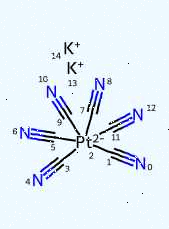 N#[C][Pt-2]([C]#N)([C]#N)([C]#N)([C]#N)[C]#N.[K+].[K+]